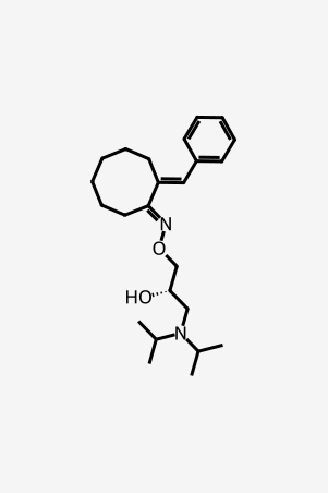 CC(C)N(C[C@H](O)CO/N=C1\CCCCCC\C1=C/c1ccccc1)C(C)C